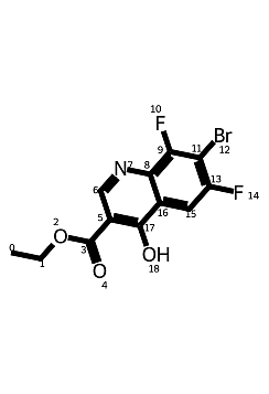 CCOC(=O)c1cnc2c(F)c(Br)c(F)cc2c1O